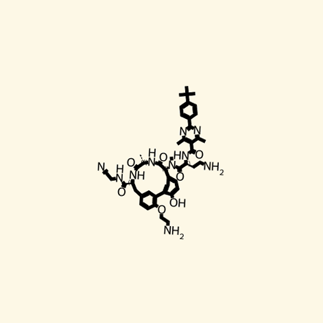 Cc1nc(-c2ccc(C(C)(C)C)cc2)nc(C)c1C(=O)N[C@@H](CCN)C(=O)N(C)[C@@H]1C(=O)N[C@@H](C)C(=O)N[C@H](C(=O)NCC#N)Cc2ccc(OCCN)c(c2)-c2cc1ccc2O